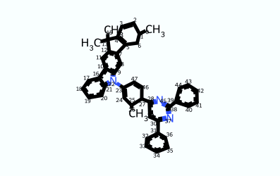 CC1C=CC2=C(C1)c1cc3c(cc1C2(C)C)c1ccccc1n3C1=CC(C)C(c2cc(-c3ccccc3)nc(-c3ccccc3)n2)C=C1